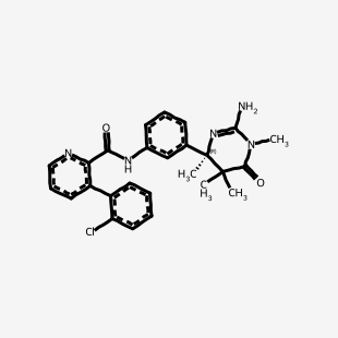 CN1C(=O)C(C)(C)[C@@](C)(c2cccc(NC(=O)c3ncccc3-c3ccccc3Cl)c2)N=C1N